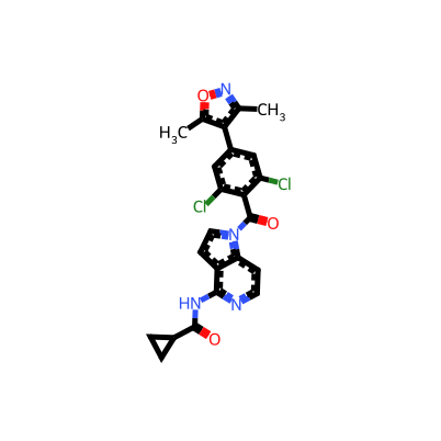 Cc1noc(C)c1-c1cc(Cl)c(C(=O)n2ccc3c(NC(=O)C4CC4)nccc32)c(Cl)c1